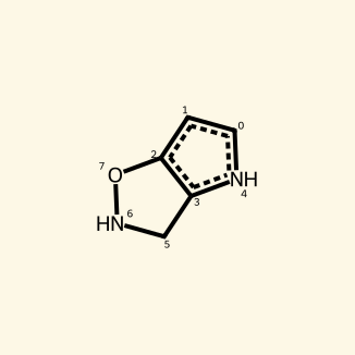 c1cc2c([nH]1)CNO2